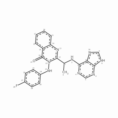 CC(Nc1ncnc2[nH]cnc12)c1nc2ccccc2c(=O)n1Nc1ccc(F)cc1